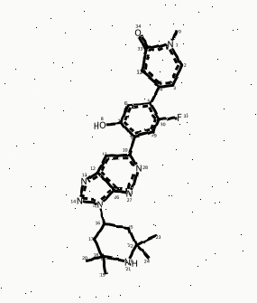 Cn1ccc(-c2cc(O)c(-c3cc4nnn(C5CC(C)(C)NC(C)(C)C5)c4nn3)cc2F)cc1=O